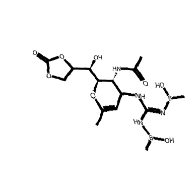 CB(O)/N=C(/NB(C)O)NC1C=C(C)O[C@@H]([C@H](O)C2COC(=O)O2)[C@@H]1NC(C)=O